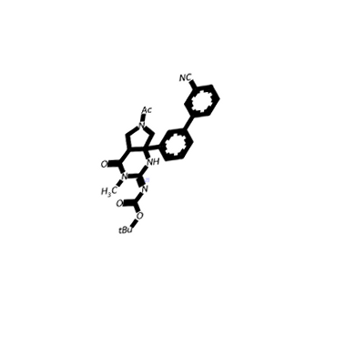 CC(=O)N1CC2C(=O)N(C)/C(=N\C(=O)OC(C)(C)C)NC2(c2cccc(-c3cccc(C#N)c3)c2)C1